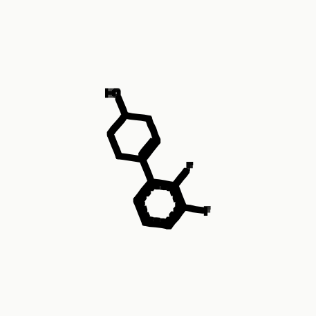 OC1CC=C(c2cccc(F)c2F)CC1